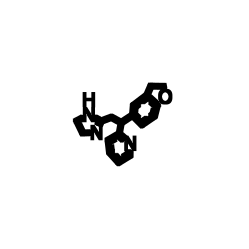 c1ccc(C(CC2=NCCN2)c2ccc3c(c2)CCO3)nc1